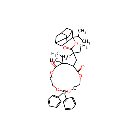 CCC1(C)CC(CC(C)(CC)C(=O)OC2(C(C)C)C3CC4CC(C3)CC2C4)C(=O)OCCO[Si](c2ccccc2)(c2ccccc2)OCCOC1=O